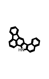 c1ccc2c(c1)-c1cccc3c1c-2cc1c3[nH]c2ccc3ccccc3c21